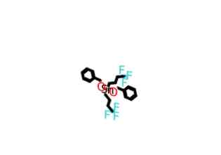 FC(F)(F)CC[CH2][Sn]([CH2]CCC(F)(F)F)([O]Cc1ccccc1)[O]Cc1ccccc1